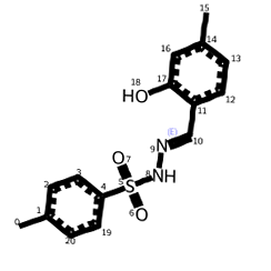 Cc1ccc(S(=O)(=O)N/N=C/c2ccc(C)cc2O)cc1